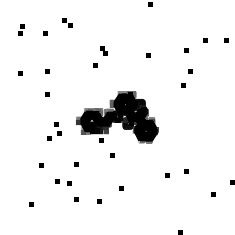 O=c1c(-c2ccccc2)coc2cccc(OCCC3CCCCN3)c12